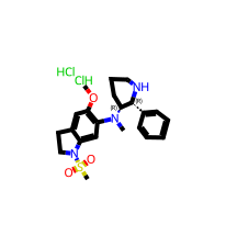 COc1cc2c(cc1N(C)[C@@H]1CCCN[C@@H]1c1ccccc1)N(S(C)(=O)=O)CC2.Cl.Cl